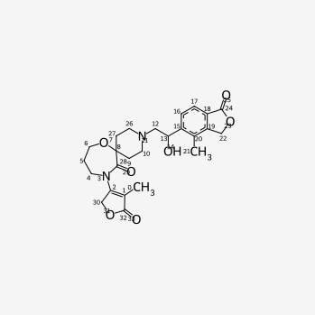 CC1=C(N2CCCOC3(CCN(CC(O)c4ccc5c(c4C)COC5=O)CC3)C2=O)COC1=O